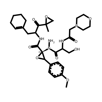 COc1ccc(C2O[C@@]2(C(=O)NC(CC2=CCCCC2)C(=O)C2(C)CO2)N(N)C(=O)C(CO)NC(=O)CN2CCOCC2)cc1